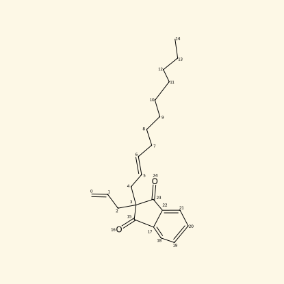 C=CCC1(C/C=C/CCCCCCCC)C(=O)c2ccccc2C1=O